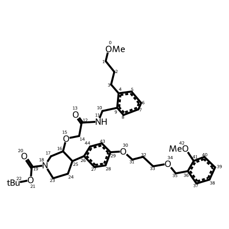 COCCCc1ccccc1CNC(=O)COC1CN(C(=O)OC(C)(C)C)CCC1c1ccc(OCCCOCc2ccccc2OC)cc1